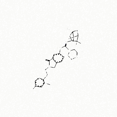 Cc1ccc(CCN2Cc3ccc(N/C(=N/[C@H]4C[C@H]5C[C@@H]([C@@H]4C)C5(C)C)N4CCN[C@@H](C)C4)cc3C2=O)c(C)c1